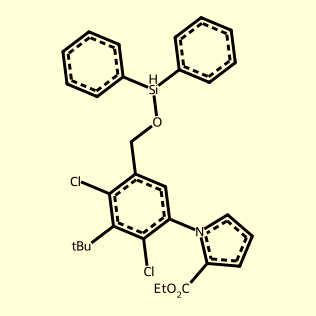 CCOC(=O)c1cccn1-c1cc(CO[SiH](c2ccccc2)c2ccccc2)c(Cl)c(C(C)(C)C)c1Cl